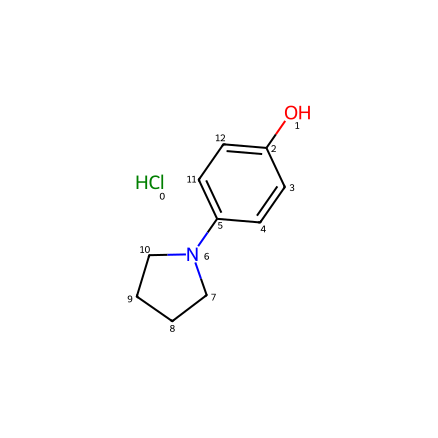 Cl.Oc1ccc(N2CCCC2)cc1